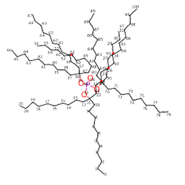 CCCCCCCCCCCC(CCCCCCCCCC)(CCCCCCCCCC)OP(=O)(OC(CCCCCCCCCC)(CCCCCCCCCC)CCCCCCCCCCC)OC(CCCCCCCCCC)(CCCCCCCCCC)CCCCCCCCCCC